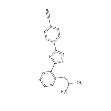 CN(C)Cc1ccncc1-c1nc(-c2ccc(C#N)cc2)cs1